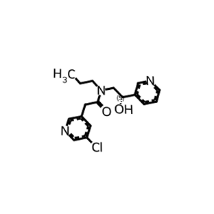 CCCN(C[C@@H](O)c1cccnc1)C(=O)Cc1cncc(Cl)c1